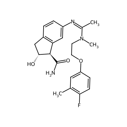 CC(=Nc1ccc2c(c1)[C@@H](C(N)=O)[C@H](O)C2)N(C)CCOc1ccc(F)c(C)c1